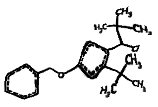 CC(C)(C)c1cc(OCc2ccccc2)ccc1C(Cl)C(C)(C)C